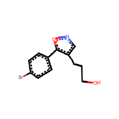 OCCCc1cnoc1-c1ccc(Br)cc1